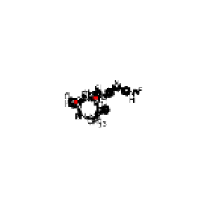 COC[C@@H]1NC(=O)[C@H](C)N(Cc2ccc(Cl)cc2Oc2ccc(-c3cncc(C4CCC(NCCF)CC4)c3)cc2)C(=O)C[C@@H](Cc2ccccc2)C(=O)N(C)[C@@H](C)CNC(=O)C[C@H](Cc2ccc(Cl)cc2)N(C)C1=O